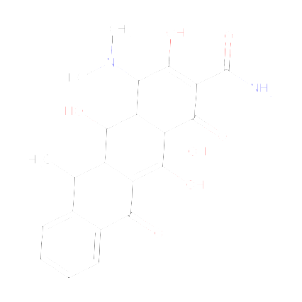 CC1c2ccccc2C(=O)C2=C(O)[C@]3(O)C(=O)C(C(N)=O)=C(O)C(N(C)C)C3C(O)C21